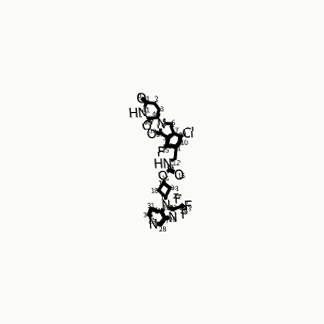 O=C1CC[C@H](N2Cc3c(Cl)cc(CNC(=O)OC4CC(n5c(C(F)(F)F)nc6cnccc65)C4)c(F)c3C2=O)C(=O)N1